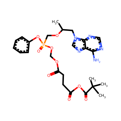 CC(Cn1cnc2c(N)ncnc21)OCP(=O)(OCOC(=O)CCC(=O)OC(=O)C(C)(C)C)Oc1ccccc1